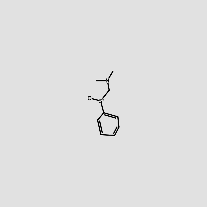 CN(C)C[S+]([O-])c1ccccc1